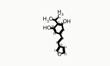 CC(C)c1c(O)cc(C=Cc2ccoc2)cc1O